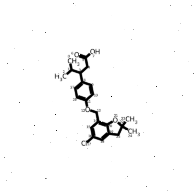 CC(C)C(CC(=O)O)c1ccc(OCc2cc(Cl)cc3c2OC(C)(C)C3)cc1